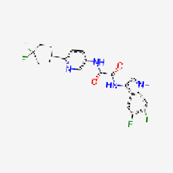 O=C(Nc1ccc(C2CCC(F)(F)CC2)nc1)C(=O)Nc1c[nH]c2cc(F)c(F)cc12